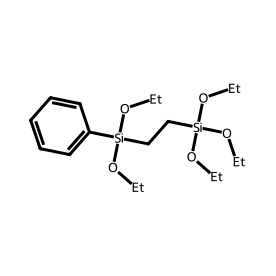 CCO[Si](CC[Si](OCC)(OCC)c1ccccc1)(OCC)OCC